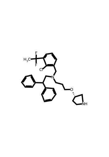 CC(F)(F)c1cccc(CN(CCCO[C@H]2CCNC2)CC(c2ccccc2)c2ccccc2)c1Cl